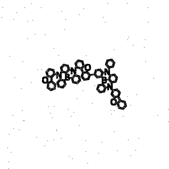 c1ccc(N2c3ccc(-c4cccc5c4oc4cccc(N6c7ccccc7B7c8ccccc8N(c8cccc9oc%10ccccc%10c89)c8cccc6c87)c45)cc3B3c4ccccc4N(c4ccc5c(c4)oc4ccccc45)c4cccc2c43)cc1